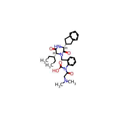 CCC(CC)[C@@H]1C(=O)N[C@H](C2Cc3ccccc3C2)C(=O)N1Cc1ccccc1N(C(=O)O)C(=O)CN(C)C